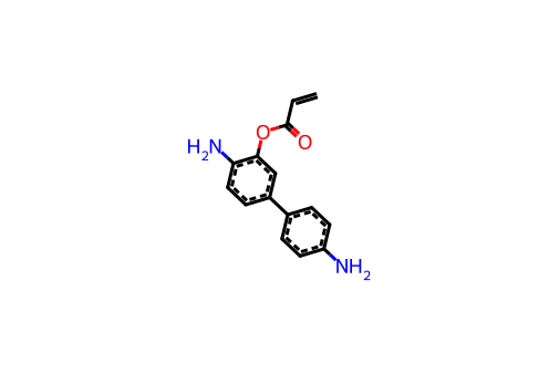 C=CC(=O)Oc1cc(-c2ccc(N)cc2)ccc1N